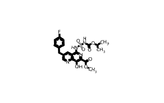 COC(=O)c1nc(NS(=O)(=O)NC(=O)OC(C)C)c2cc(Cc3ccc(F)cc3)cnc2c1O